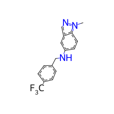 Cn1ncc2cc(NCc3ccc(C(F)(F)F)cc3)ccc21